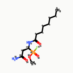 CCCCCCCC(=O)N[C@H](CC(N)=O)P(=O)(F)OC